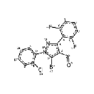 O=Cc1c(-c2c(F)cccc2F)nn(-c2ccccc2Cl)c1Br